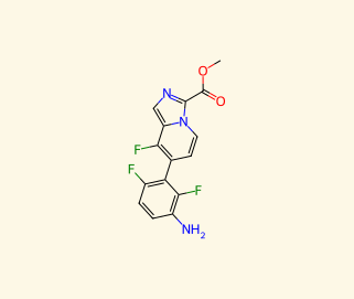 COC(=O)c1ncc2c(F)c(-c3c(F)ccc(N)c3F)ccn12